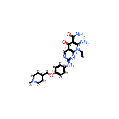 CCn1c(N)c(C(N)=O)c(=O)c2cnc(Nc3ccc(OCC4CCN(C)CC4)cc3)nc21